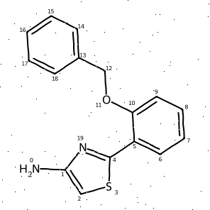 Nc1csc(-c2ccccc2OCc2ccccc2)n1